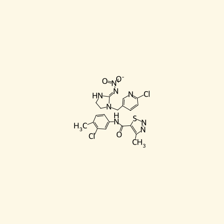 Cc1ccc(NC(=O)c2snnc2C)cc1Cl.O=[N+]([O-])/N=C1\NCCN1Cc1ccc(Cl)nc1